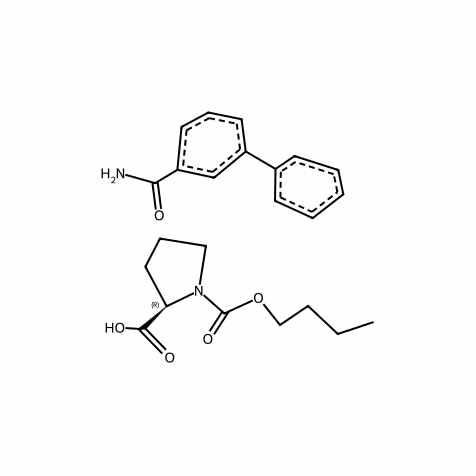 CCCCOC(=O)N1CCC[C@@H]1C(=O)O.NC(=O)c1cccc(-c2ccccc2)c1